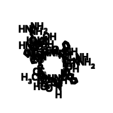 CC(=O)N[C@H]1CSSC[C@@H](C(=O)N2CCC[C@H]2C(=O)N2CCC[C@H]2C(=O)N[C@@H](CCCNC(=N)N)C(=O)N[C@@H](CC(=O)O)C(=O)O)NC(=O)[C@H](C)NC(=O)[C@H](Cc2c[nH]c3ccccc23)NC(=O)[C@H](CCCNC(=N)N)NC(=O)[C@@H](Cc2ccc3ccccc3c2)NC(=O)[C@H](Cc2c[nH]cn2)NC(=O)[C@H](CCC(=O)O)NC1=O